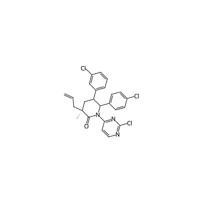 C=CC[C@@]1(C)CC(c2cccc(Cl)c2)C(c2ccc(Cl)cc2)N(c2ccnc(Cl)n2)C1=O